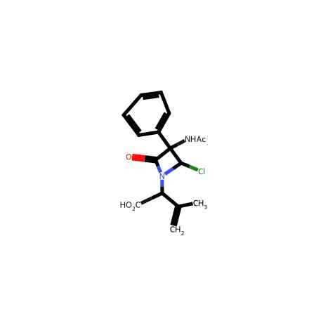 C=C(C)C(C(=O)O)N1C(=O)C(NC(C)=O)(c2ccccc2)C1Cl